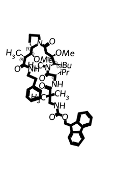 CC[C@H](C)[C@@H]([C@@H](CC(=O)N1CCC[C@H]1[C@H](OC)[C@@H](C)C(=O)NCCc1ccccc1)OC)N(C)C(=O)[C@@H](NC(=O)C(C)(C)CNC(=O)OCC1c2ccccc2-c2ccccc21)C(C)C